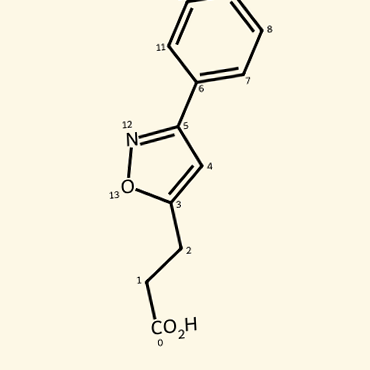 O=C(O)CCc1cc(-c2ccccc2)no1